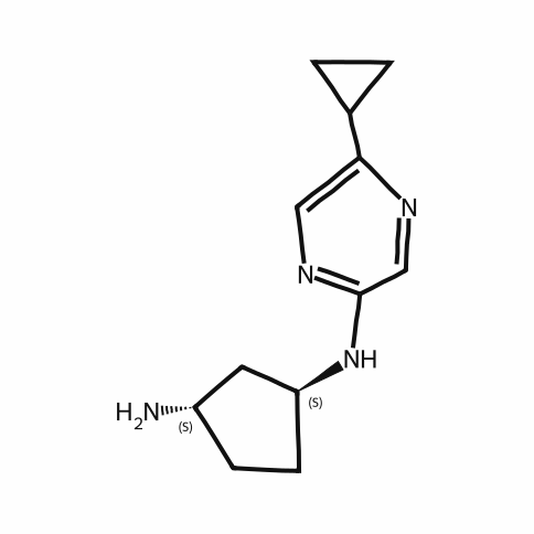 N[C@H]1CC[C@H](Nc2cnc(C3CC3)cn2)C1